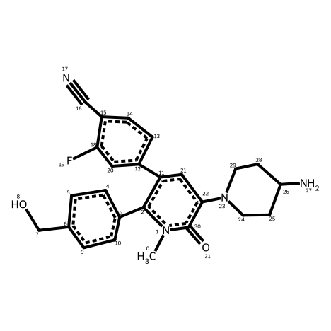 Cn1c(-c2ccc(CO)cc2)c(-c2ccc(C#N)c(F)c2)cc(N2CCC(N)CC2)c1=O